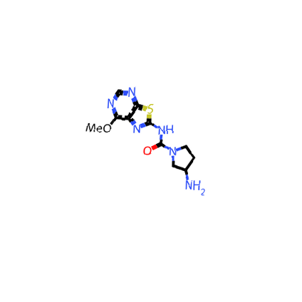 COc1ncnc2sc(NC(=O)N3CCC(N)C3)nc12